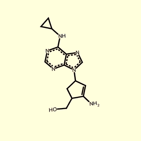 NC1=CC(n2cnc3c(NC4CC4)ncnc32)CC1CO